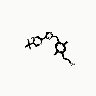 Cc1cc(Cc2nc(C3=CNC(C(C)(C)C)C=N3)cs2)c(C)cc1CCO